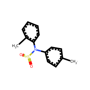 [CH2]c1ccc(N(c2ccccc2C)[SH](=O)=O)cc1